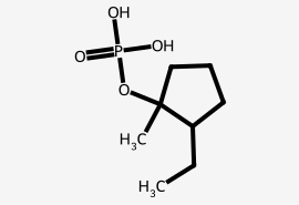 CCC1CCCC1(C)OP(=O)(O)O